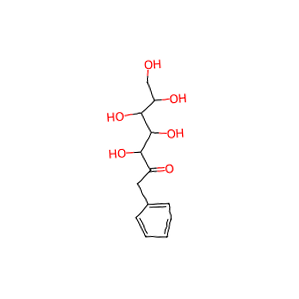 O=C(Cc1ccccc1)C(O)C(O)C(O)C(O)CO